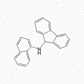 c1ccc2c(c1)-c1ccccc1C2Nc1cccc2ccccc12